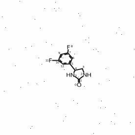 O=C1NCC(c2cc(F)cc(F)c2)N1